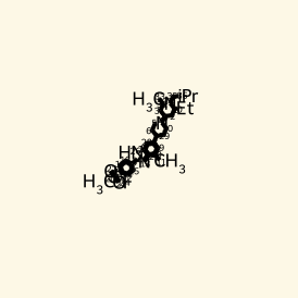 CCC1CC(N2CCC(c3cc(C)c4nc(-c5ccc(S(C)(=O)=O)c(F)c5)[nH]c4c3)CC2)CC(C)N1CC(C)C